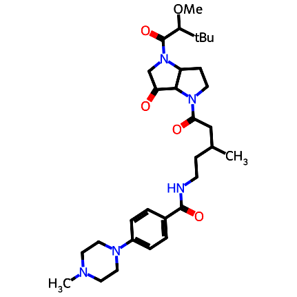 COC(C(=O)N1CC(=O)C2C1CCN2C(=O)CC(C)CCNC(=O)c1ccc(N2CCN(C)CC2)cc1)C(C)(C)C